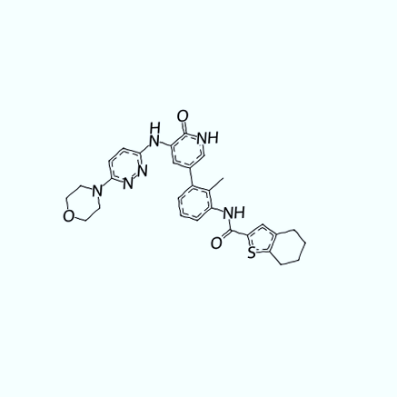 Cc1c(NC(=O)c2cc3c(s2)CCCC3)cccc1-c1c[nH]c(=O)c(Nc2ccc(N3CCOCC3)nn2)c1